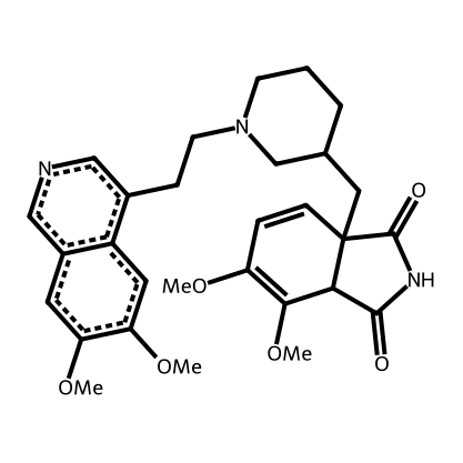 COC1=C(OC)C2C(=O)NC(=O)C2(CC2CCCN(CCc3cncc4cc(OC)c(OC)cc34)C2)C=C1